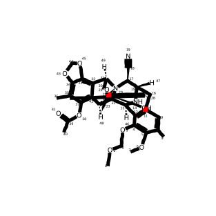 COCOc1c(OC)c(C)cc2c1[C@@H]1N[C@@H](C2)[C@H](C#N)N2C1[C@@H]1SC[C@@H](O)C(=O)OC[C@H]2c2c3c(c(C)c(OC(C)=O)c21)OCO3